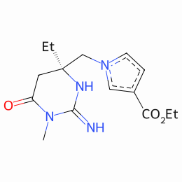 CCOC(=O)c1ccn(C[C@]2(CC)CC(=O)N(C)C(=N)N2)c1